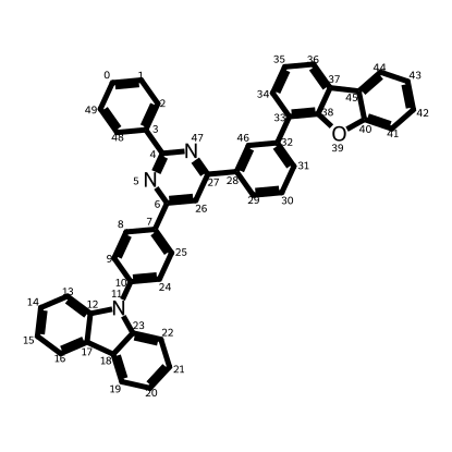 c1ccc(-c2nc(-c3ccc(-n4c5ccccc5c5ccccc54)cc3)cc(-c3cccc(-c4cccc5c4oc4ccccc45)c3)n2)cc1